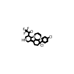 O=C(C1CNCC2=C3CCC(Cl)(c4ccc(Cl)cc4)C4=C3N(CC=CS4)C21)C(F)(F)F